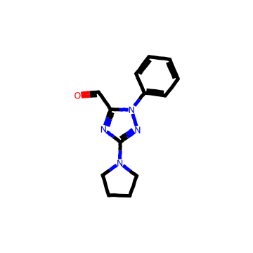 O=Cc1nc(N2CCCC2)nn1-c1ccccc1